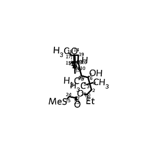 CC[C@@H](CC(C)(C)C(O)[C@H](C)[C@@]12CCC(=O)[C@]3(C1)C(C)C[C@@H]23)OC(=O)CSC